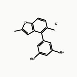 Cc1cc2c(-c3cc(C(C)(C)C)cc(C(C)(C)C)c3)c(C)ccc2[cH-]1.[Li+]